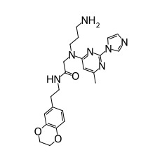 Cc1cc(N(CCCN)CC(=O)NCCc2ccc3c(c2)OCCO3)nc(-n2ccnc2)n1